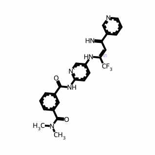 CN(C)C(=O)c1cccc(C(=O)Nc2ccc(N/C(=C\C(=N)c3cccnc3)C(F)(F)F)cn2)c1